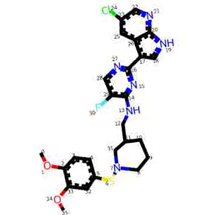 COc1ccc(SN2CCCC(CNc3nc(-c4c[nH]c5ncc(Cl)cc45)ncc3F)C2)cc1OC